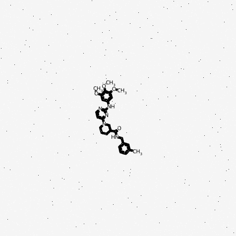 COc1cc(Nc2nccc(N3CCCC(C(=O)NCc4cccc(C)c4)C3)n2)cc(OC)c1OC